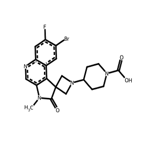 CN1C(=O)C2(CN(C3CCN(C(=O)O)CC3)C2)c2c1cnc1cc(F)c(Br)cc21